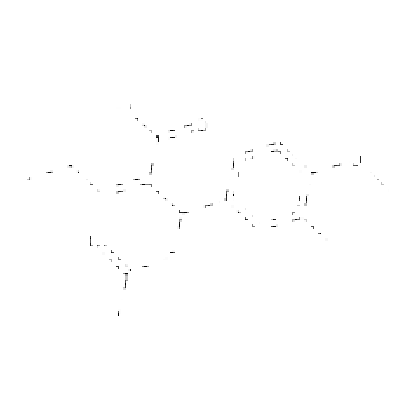 CCC=C(C(=O)O)C(OC(C)=O)c1ccc(OC)c(F)c1